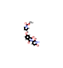 CC(C)(C)OC(=O)N1CC[C@@H](COc2ccc3c(c2)C(=O)N(C2CCC(=O)NC2=O)C3=O)C1